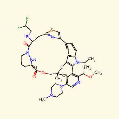 CCn1c(-c2cc(N3CCN(C)CC3)cnc2[C@H](C)OC)c2c3cc(ccc31)-c1csc(n1)C[C@H](NCC(F)F)C(=O)N1CCC[C@H](N1)C(=O)OCC(C)(C)C2